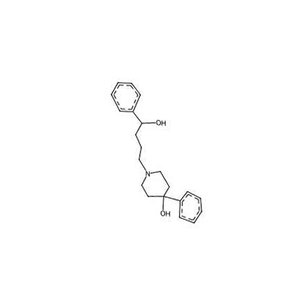 OC(CCCN1CCC(O)(c2ccccc2)CC1)c1ccccc1